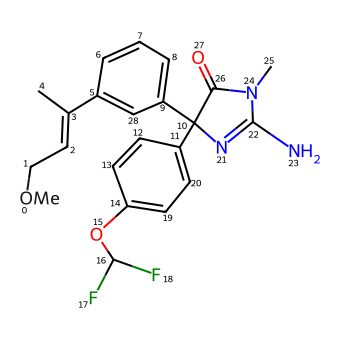 COCC=C(C)c1cccc(C2(c3ccc(OC(F)F)cc3)N=C(N)N(C)C2=O)c1